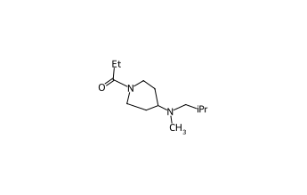 CCC(=O)N1CCC(N(C)CC(C)C)CC1